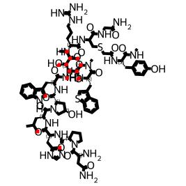 CCCC[C@@H](C(=O)N(C)[C@@H](C)C(=O)N[C@@H](CCCNC(=N)N)C(=O)NC(CSCC(=O)N[C@@H](Cc1ccc(O)cc1)C(=O)NC)C(=O)NCC(N)=O)N(C)C(=O)[C@H](Cc1csc2ccccc12)NC(=O)[C@H](CO)NC(=O)[C@H](Cc1c[nH]c2ccccc12)NC(=O)[C@@H]1C[C@@H](O)CN1C(=O)[C@H](CC(C)C)NC(=O)[C@H](Cc1cnc[nH]1)NC(=O)[C@@H]1CCCN1C(=O)[C@@H](N)CC(N)=O